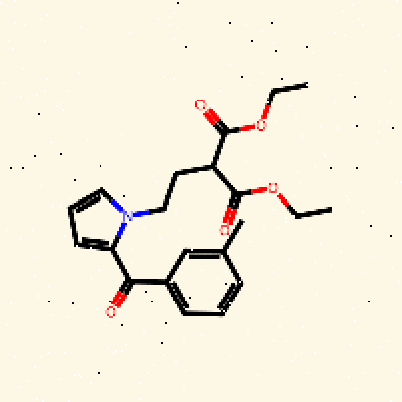 CCOC(=O)C(CCn1cccc1C(=O)c1cccc(C)c1)C(=O)OCC